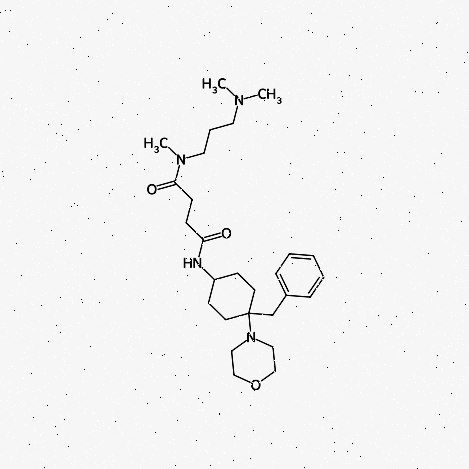 CN(C)CCCN(C)C(=O)CCC(=O)NC1CCC(Cc2ccccc2)(N2CCOCC2)CC1